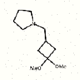 COC1(OC)CC(CN2CCCC2)C1